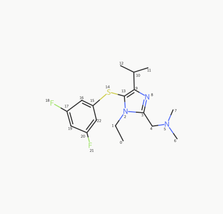 CCn1c(CN(C)C)nc(C(C)C)c1Sc1cc(F)cc(F)c1